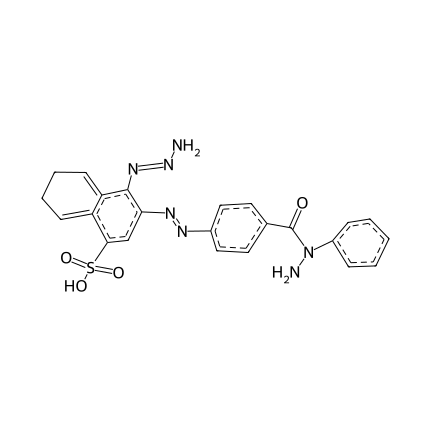 NN=Nc1c(/N=N/c2ccc(C(=O)N(N)c3ccccc3)cc2)cc(S(=O)(=O)O)c2c1=CCCC=2